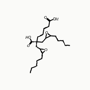 CCCCCC1OC1CC(CCCCC(=O)O)(CC1OC1CCCCC)C(=O)O